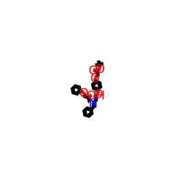 CC(C)(C)OC(=O)COc1ccc(OCCN(Cc2ccccc2)CC(O)COc2ccccc2)cc1